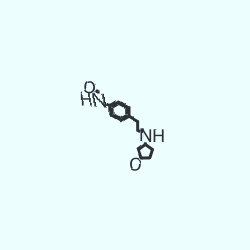 O=CNc1ccc(CCNC2CCC(=O)C2)cc1